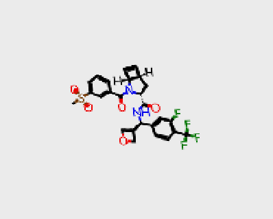 CS(=O)(=O)c1cccc(C(=O)N2[C@@H](C(=O)N[C@@H](c3ccc(C(F)(F)F)c(F)c3)C3COC3)C[C@H]3C=C[C@H]32)c1